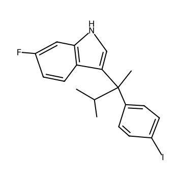 CC(C)C(C)(c1ccc(I)cc1)c1c[nH]c2cc(F)ccc12